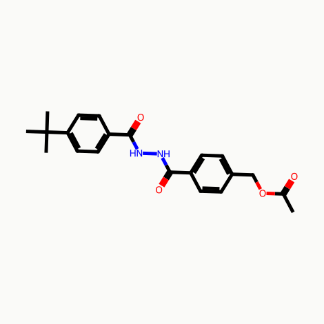 CC(=O)OCc1ccc(C(=O)NNC(=O)c2ccc(C(C)(C)C)cc2)cc1